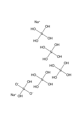 O[Si](O)(O)O.O[Si](O)(O)O.O[Si](O)(O)O.O[Si](O)(O)O.[Na+].[Na+].[O-][Si]([O-])(O)O